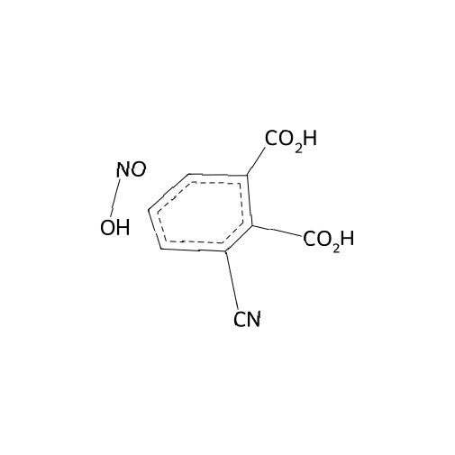 N#Cc1cccc(C(=O)O)c1C(=O)O.O=NO